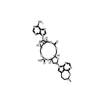 C[C@H]1CCc2cn([C@H]3C[C@@H]4OP(=O)(S)OC[C@H]5O[C@@H](n6cnc7c(N)ncnc76)[C@H](OC(=O)OC[C@H]4O3)[C@@H]5O)c3ncnc(c23)O1